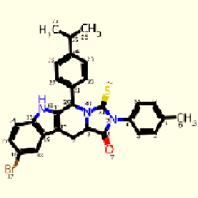 Cc1ccc(N2C(=O)C3Cc4c([nH]c5ccc(Br)cc45)C(c4ccc(C(C)C)cc4)N3C2=S)cc1